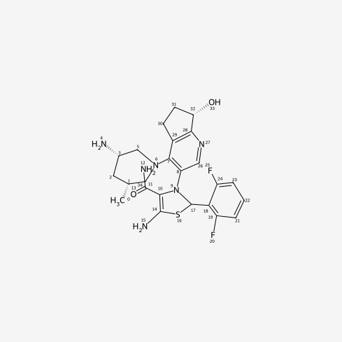 C[C@@H]1C[C@H](N)CN(c2c(N3C(C(N)=O)=C(N)SC3c3c(F)cccc3F)cnc3c2CC[C@@H]3O)C1